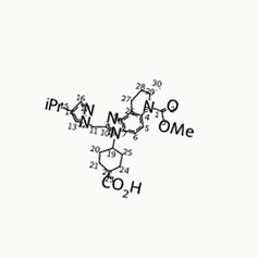 COC(=O)N1c2ccc3c(nc(Cn4cc(C(C)C)cn4)n3C3CCC(C(=O)O)CC3)c2CC[C@@H]1C